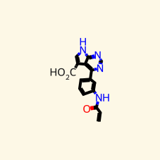 C=CC(=O)Nc1cccc(-c2ncnc3[nH]cc(C(=O)O)c23)c1